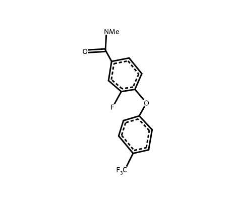 CNC(=O)c1ccc(Oc2ccc(C(F)(F)F)cc2)c(F)c1